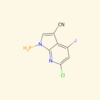 N#Cc1cn(P)c2nc(Cl)cc(I)c12